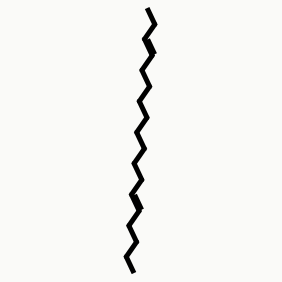 CCC=CCCCCCCCCC=CCCCC